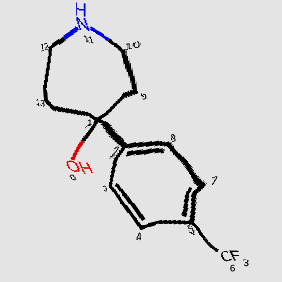 OC1(c2ccc(C(F)(F)F)cc2)CCNCC1